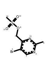 Cc1ncc(Br)c(COS(C)(=O)=O)n1